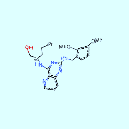 COc1ccc(CNc2nc(N[C@@H](CO)CCC(C)C)c3ncccc3n2)c(OC)c1